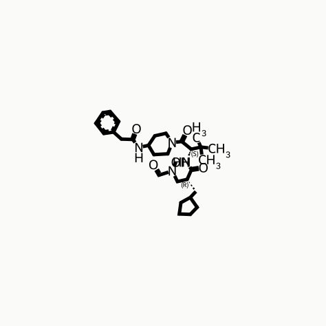 CC(C)(C)[C@H](NC(=O)[C@H](CC1CCCC1)CN(O)C=O)C(=O)N1CCC(NC(=O)Cc2ccccc2)CC1